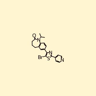 CC(C)N1C(=O)CCCc2cc(-c3nc(-c4ccncc4)sc3Br)ccc21